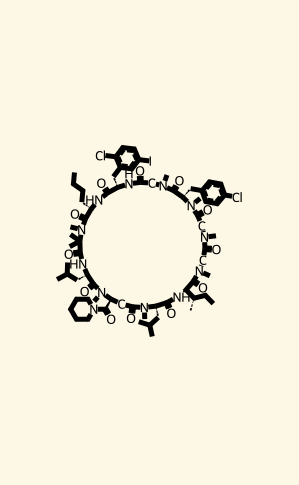 CCCC[C@@H]1NC(=O)[C@H](Cc2cc(I)ccc2Cl)NC(=O)CN(C)C(=O)[C@H](Cc2ccc(Cl)cc2)N(C)C(=O)CN(C)C(=O)CN(C)C(=O)[C@H]([C@@H](C)CC)NC(=O)[C@H](CC(C)C)N(C)C(=O)C[C@@H](C(=O)N2CCCCC2)N(C)C(=O)[C@H](CC(C)C)NC(=O)C(C)(C)N(C)C1=O